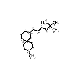 CN1CCC2(CC1)CN(CCCOC(C)(C)C)CCO2